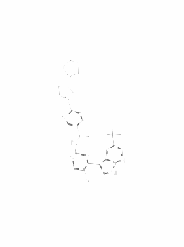 C[C@@H](Nc1ncc(N)c(-c2c[nH]c3ncc(C(F)(F)F)cc23)n1)c1ccc(N2CC[C@H](N3CCCC3)C2)nc1